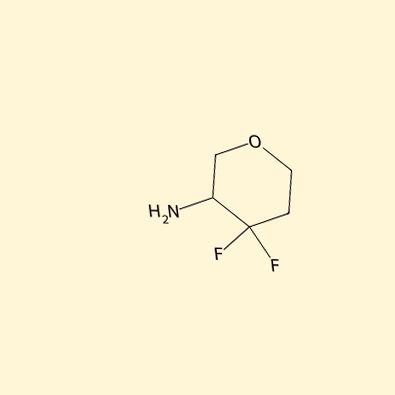 NC1COCCC1(F)F